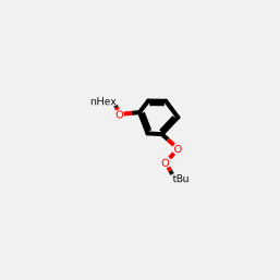 CCCCCCOc1cccc(OOC(C)(C)C)c1